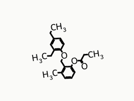 CCC(=O)Oc1cccc(C)c1COc1ccc(CC)cc1CC